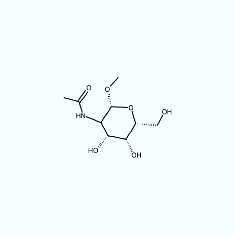 CO[C@@H]1O[C@H](CO)[C@H](O)[C@H](O)C1NC(C)=O